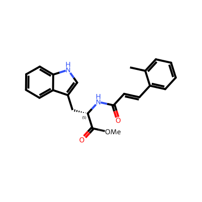 COC(=O)[C@H](Cc1c[nH]c2ccccc12)NC(=O)C=Cc1ccccc1C